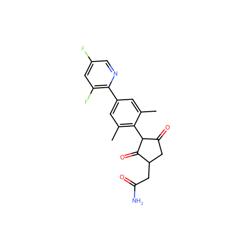 Cc1cc(-c2ncc(F)cc2F)cc(C)c1C1C(=O)CC(CC(N)=O)C1=O